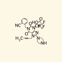 CC#CCn1c(N2CCNCC2)nc2c1c(=O)n(Cc1ccccc1C#N)c(=O)n2C.O=C(O)C(F)(F)F